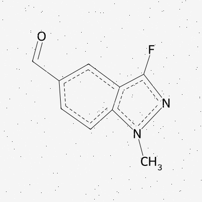 Cn1nc(F)c2cc(C=O)ccc21